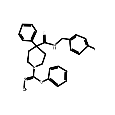 N#C/N=C(\Oc1ccccc1)N1CCC(C(=O)NCc2ccc(F)cc2)(c2ccccc2)CC1